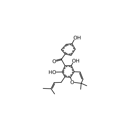 CC(C)=CCc1c(O)c(C(=O)c2ccc(O)cc2)c(O)c2c1OC(C)(C)C=C2